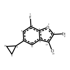 CCc1oc2c(F)cc(C3CC3)cc2c1Cl